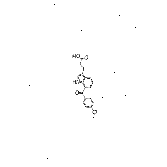 O=C(O)CCc1c[nH]c2c(C(=O)c3ccc(Cl)cc3)cccc12